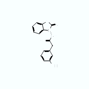 Cc1cccc(CC(=O)Nn2c(=O)sc3ccccc32)c1